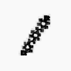 CCc1ccc(CCC2=CCC(CC[C@H]3CC[C@H](CC)CC3)CC2)cc1